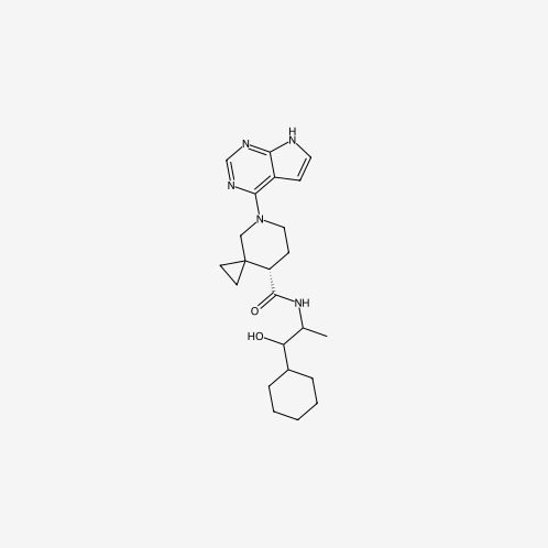 CC(NC(=O)[C@H]1CCN(c2ncnc3[nH]ccc23)CC12CC2)C(O)C1CCCCC1